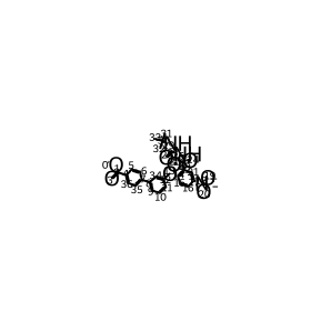 COC(=O)c1ccc(-c2cccc(Oc3ccc([N+](=O)[O-])cc3S(=O)(=O)NC(=O)NC(C)(C)C)c2)cc1